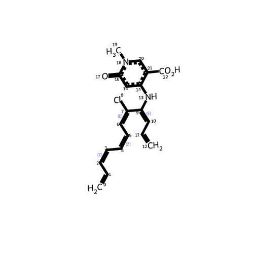 C=C\C=C/C=C\C=C(Cl)/C(=C\C=C)Nc1cc(=O)n(C)cc1C(=O)O